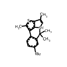 CC1=C[SH]2c3c1sc(C)c3-c1ccc(C(C)(C)C)cc1C2(C)C